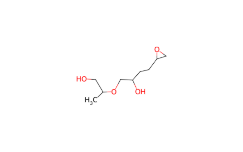 CC(CO)OCC(O)CCC1CO1